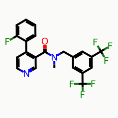 CN(Cc1cc(C(F)(F)F)cc(C(F)(F)F)c1)C(=O)c1cnccc1-c1ccccc1F